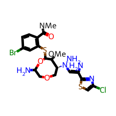 CNC(=O)c1ccc(Br)cc1SC1OC(N)COC[C@@H](N(N)/C=C(\N)c2nc(Cl)cs2)C1OC